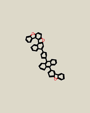 c1ccc2c(c1)oc1ccc(-c3c4ccccc4c(-c4ccc(-c5cc6oc7ccc8oc9ccccc9c8c7c6c6ccccc56)cc4)c4ccccc34)cc12